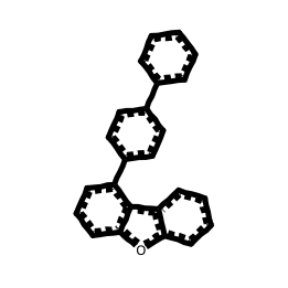 c1ccc(-c2ccc(-c3cccc4oc5ccccc5c34)cc2)cc1